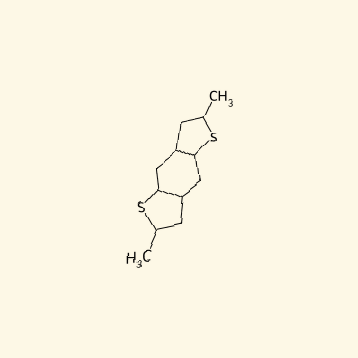 CC1CC2CC3SC(C)CC3CC2S1